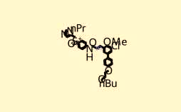 CCCCOCCOc1ccc(-c2cc(Cl)c(OC)c(/C=C/C(=O)Nc3ccc([S@@+]([O-])Cc4cncn4CCC)cc3)c2)cc1